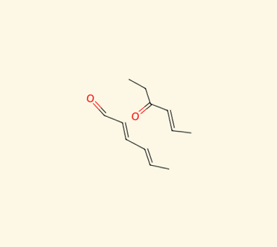 CC=CC(=O)CC.CC=CC=CC=O